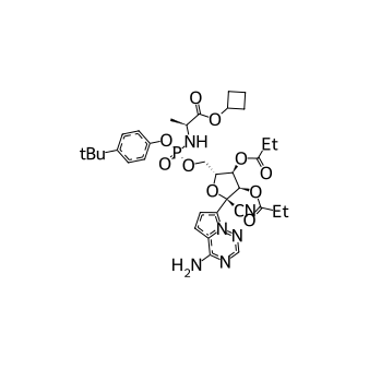 CCC(=O)O[C@H]1[C@@H](OC(=O)CC)[C@](C#N)(c2ccc3c(N)ncnn23)O[C@@H]1COP(=O)(N[C@@H](C)C(=O)OC1CCC1)Oc1ccc(C(C)(C)C)cc1